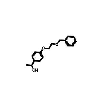 CC(O)c1ccc(OCCOCc2ccccc2)cc1